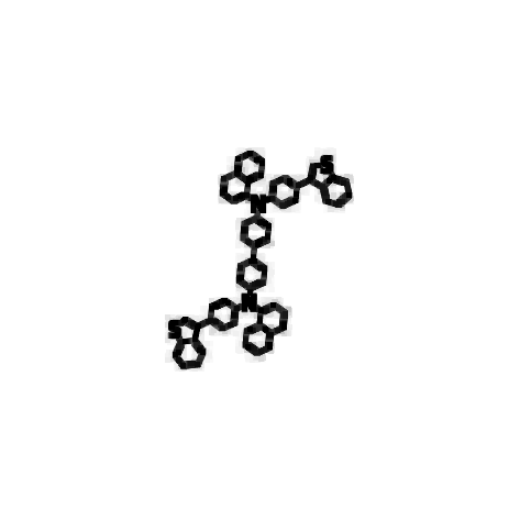 c1ccc2c(N(c3ccc(-c4ccc(N(c5ccc(-c6csc7ccccc67)cc5)c5cccc6ccccc56)cc4)cc3)c3ccc(-c4csc5ccccc45)cc3)cccc2c1